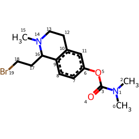 CN(C)C(=O)Oc1ccc2c(c1)CCN(C)C2CCBr